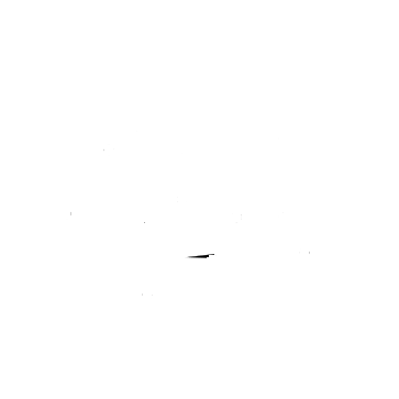 CC(=O)OC1CO[C@H](COC(=O)c2ccccc2)C1(C)OC(C)=O